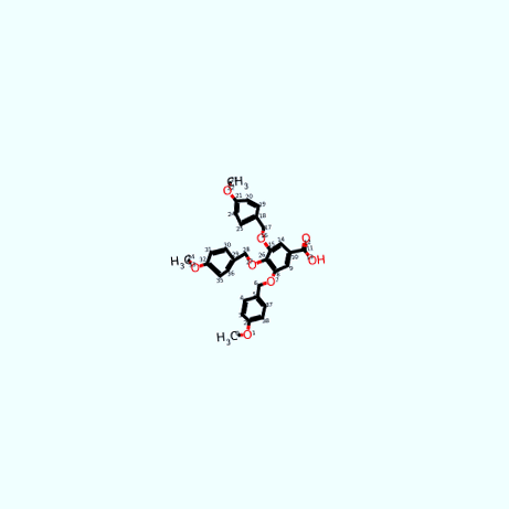 COc1ccc(COc2cc(C(=O)O)cc(OCc3ccc(OC)cc3)c2OCc2ccc(OC)cc2)cc1